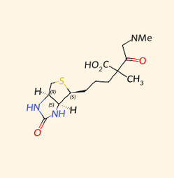 CNCC(=O)C(C)(CCC[C@@H]1SC[C@@H]2NC(=O)N[C@@H]21)C(=O)O